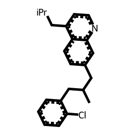 CC(C)Cc1ccnc2cc(CC(C)Cc3ccccc3Cl)ccc12